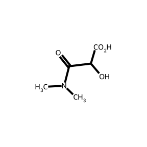 CN(C)C(=O)C(O)C(=O)O